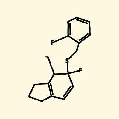 [CH2]C1C2=C(C=CC1(F)SCc1ccccc1F)CCC2